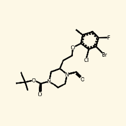 Cc1cc(F)c(Br)c(Cl)c1OCCC1CN(C(=O)OC(C)(C)C)CCN1C=O